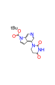 CC(C)(C)OC(=O)n1ccc2c(N3CCC(=O)NC3=O)cncc21